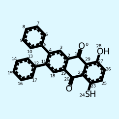 O=C1c2cc(-c3ccccc3)c(-c3ccccc3)cc2C(=O)c2c(S)ccc(O)c21